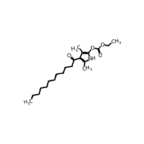 CCCCCCCCCCCC(=O)c1c(C)[nH]c(OC(=O)OCC)c1C